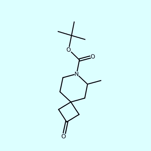 CC1CC2(CCN1C(=O)OC(C)(C)C)CC(=O)C2